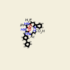 CC(=O)[C@H](CCC(=O)O)NC(=O)[C@H](Cc1ccc(-c2ccccc2)cc1)NC(=O)[C@@H](NC(=O)[C@@H](C)Cc1c[nH]c2ccccc12)C(C)C